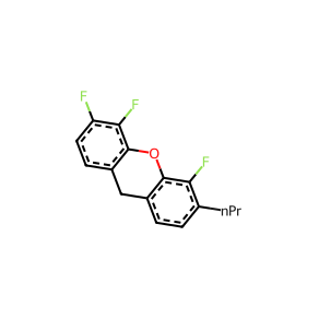 CCCc1ccc2c(c1F)Oc1c(ccc(F)c1F)C2